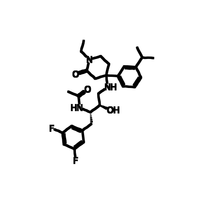 CCN1CCC(NC[C@@H](O)[C@H](Cc2cc(F)cc(F)c2)NC(C)=O)(c2cccc(C(C)C)c2)CC1=O